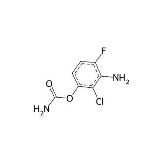 NC(=O)Oc1ccc(F)c(N)c1Cl